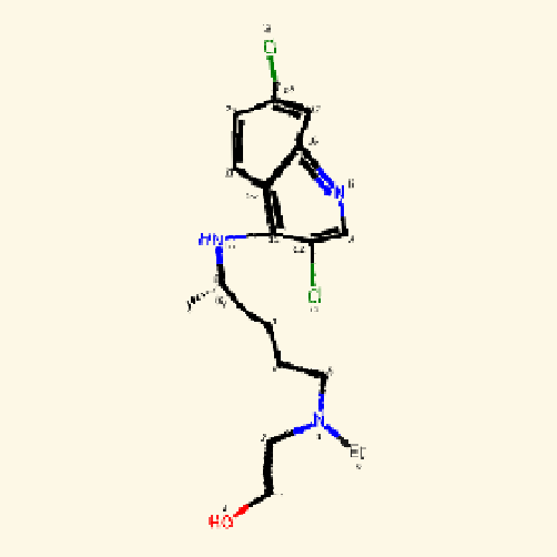 CCN(CCO)CCC[C@H](C)Nc1c(Cl)cnc2cc(Cl)ccc12